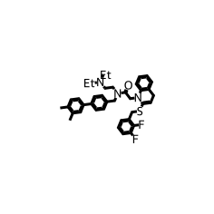 CCN(CC)CCN(Cc1ccc(-c2ccc(C)c(C)c2)cc1)C(=O)CN1C(SCc2cccc(F)c2F)=CCc2ccccc21